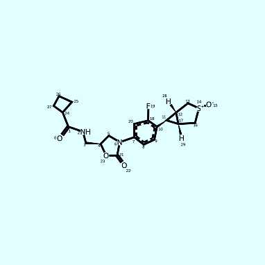 O=C(NC[C@H]1CN(c2ccc([C@H]3[C@@H]4C[S+]([O-])C[C@@H]43)c(F)c2)C(=O)O1)C1CCC1